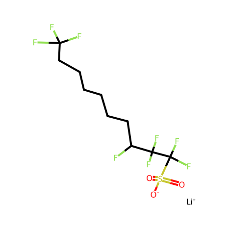 O=S(=O)([O-])C(F)(F)C(F)(F)C(F)CCCCCCC(F)(F)F.[Li+]